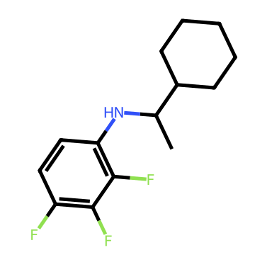 CC(Nc1ccc(F)c(F)c1F)C1CCCCC1